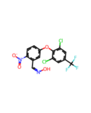 O=[N+]([O-])c1ccc(Oc2c(Cl)cc(C(F)(F)F)cc2Cl)cc1/C=N\O